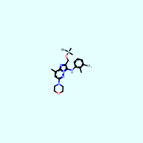 Cc1c(Nc2c(CO[Si](C)(C)C(C)(C)C)nc3c(C)cc(N4CCOCC4)nn23)cccc1C(F)(F)F